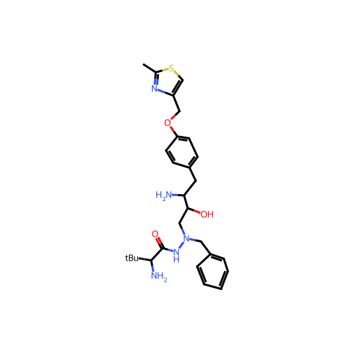 Cc1nc(COc2ccc(CC(N)C(O)CN(Cc3ccccc3)NC(=O)C(N)C(C)(C)C)cc2)cs1